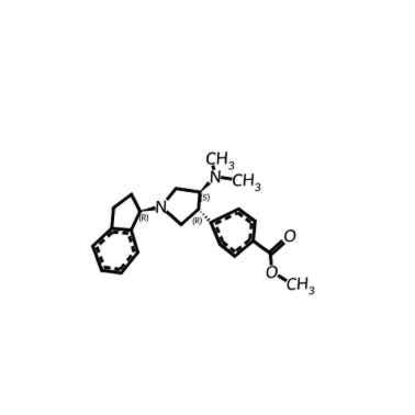 COC(=O)c1ccc([C@@H]2CN([C@@H]3CCc4ccccc43)C[C@H]2N(C)C)cc1